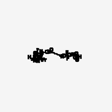 CC(C)n1nc(-c2noc(C3CC3)c2-c2ncc(C3CCN(C(=O)CCCCCCCN4CCC(c5c(F)cc(NC6CCC(=O)NC6=O)cc5F)CC4)CC3)cn2)c2c(N)ncnc21